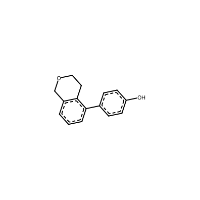 Oc1ccc(-c2cccc3c2CCOC3)cc1